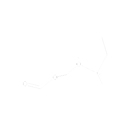 CCC(C)OCOC=O